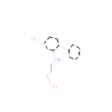 Cl.OCCCNc1ccccc1-c1ccccc1